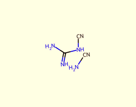 N#CN.N#CNC(=N)N